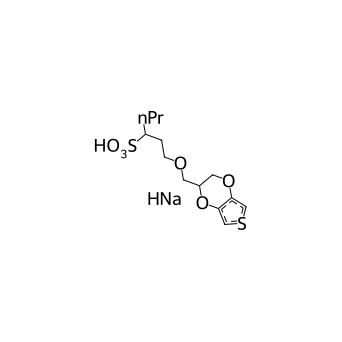 CCCC(CCOCC1COc2cscc2O1)S(=O)(=O)O.[NaH]